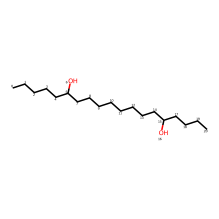 CCCCCC(O)CCCCCCCCC(O)CCCC